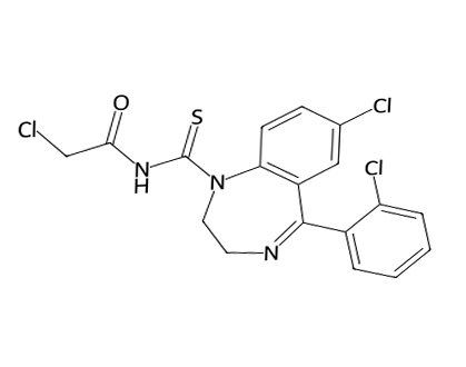 O=C(CCl)NC(=S)N1CCN=C(c2ccccc2Cl)c2cc(Cl)ccc21